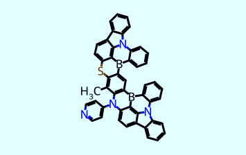 Cc1c2c(cc3c1N(c1ccncc1)c1ccc4c5ccccc5n5c4c1B3c1ccccc1-5)B1c3ccccc3-n3c4ccccc4c4ccc(c1c43)S2